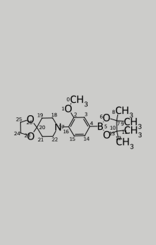 COc1cc(B2OC(C)(C)C(C)(C)O2)ccc1N1CCC2(CC1)OCCO2